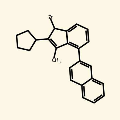 CC1=C(C2CCCC2)[CH]([Zr])c2cccc(-c3ccc4ccccc4c3)c21